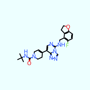 CC(C)(C)NC(=O)N1CC=C(c2cnc(NCc3c(F)ccc4c3CCO4)n3cnnc23)CC1